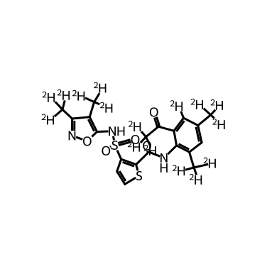 [2H]c1c(C([2H])([2H])[2H])cc(C([2H])([2H])[2H])c(NC(=O)c2sccc2S(=O)(=O)Nc2onc(C([2H])([2H])[2H])c2C([2H])([2H])[2H])c1C(=O)C([2H])([2H])[2H]